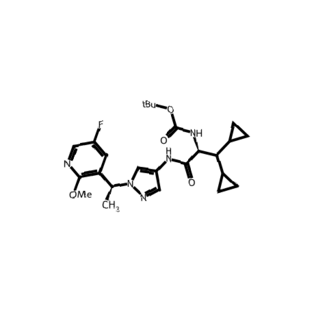 COc1ncc(F)cc1[C@H](C)n1cc(NC(=O)[C@@H](NC(=O)OC(C)(C)C)C(C2CC2)C2CC2)cn1